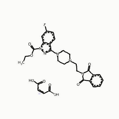 CCOC(=O)n1nc(N2CCN(CCN3C(=O)c4ccccc4C3=O)CC2)c2ccc(F)cc21.O=C(O)/C=C\C(=O)O